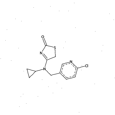 O=C1N=C(N(Cc2ccc(Cl)nc2)C2CC2)CS1